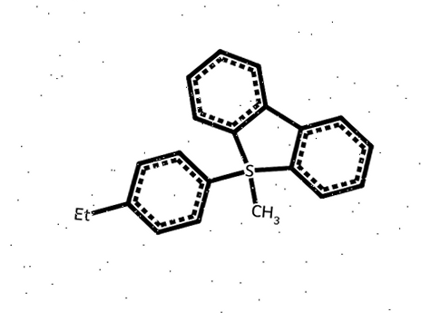 CCc1ccc(S2(C)c3ccccc3-c3ccccc32)cc1